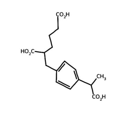 CC(C(=O)O)c1ccc(CC(CCCC(=O)O)C(=O)O)cc1